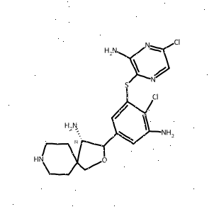 Nc1cc(C2OCC3(CCNCC3)[C@@H]2N)cc(Sc2ncc(Cl)nc2N)c1Cl